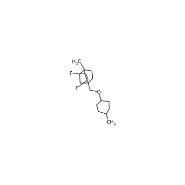 CC1CCC(OCC23CCC(C)(CC2)C(F)=C3F)CC1